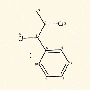 C[C](Cl)C(Cl)c1ccccc1